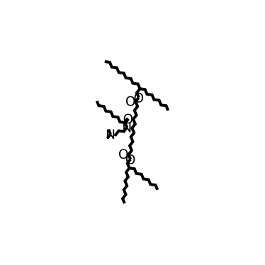 CCCCCCCCCCC(CCCCCCCC)COC(=O)CCCCCC(CCCCCC(=O)OCC(CCCCCCCC)CCCCCCCC)N(CCCN(C)C)C(=O)CCCCCCCC